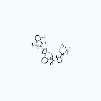 Cc1cccc(F)c1NC(=O)c1cc2c(s1)-c1ccccc1N(C(=O)c1cccc(N3CCOCC(F)(F)C3)n1)CC2